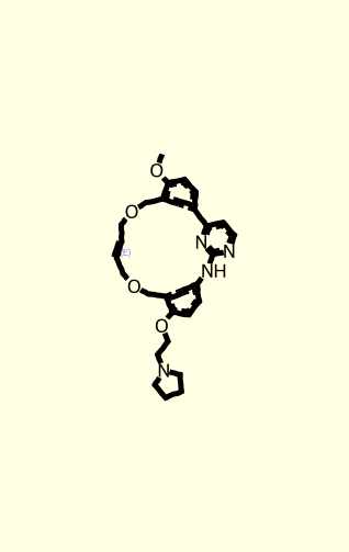 COc1ccc2cc1COC/C=C/COCc1cc(ccc1OCCN1CCCC1)Nc1nccc-2n1